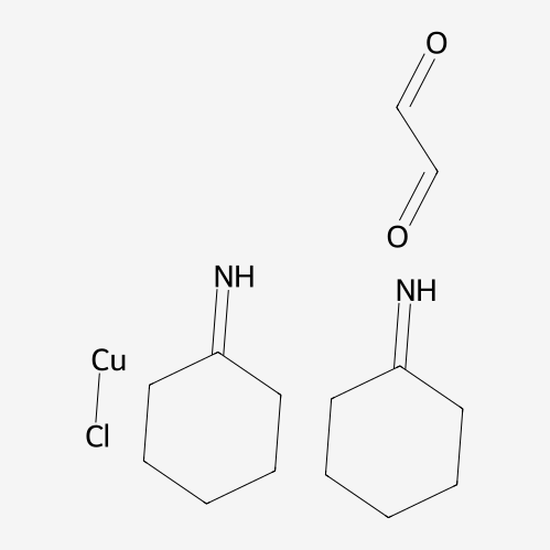 N=C1CCCCC1.N=C1CCCCC1.O=CC=O.[Cl][Cu]